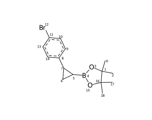 CC1(C)OB(C2CC2c2ccc(Br)cc2)OC1(C)C